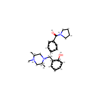 C[C@H]1CN([C@H](c2ccc(C(=O)N3CCCC3)cc2)c2ccccc2O)[C@@H](C)CN1C